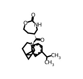 CC(C)c1cccc(C23CCN(C(=O)[C@@H]4CCOC(=O)NC4)CC2C3)c1